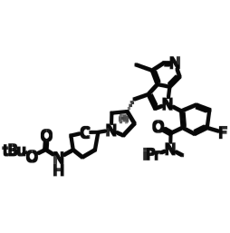 Cc1cncc2c1c(C[C@@H]1CCN(C3CCC(NC(=O)OC(C)(C)C)CC3)C1)cn2-c1ccc(F)cc1C(=O)N(C)C(C)C